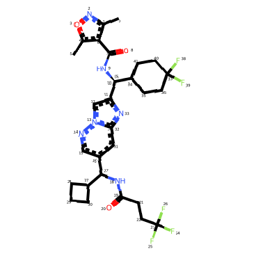 Cc1noc(C)c1C(=O)N[C@H](c1cn2ncc(C(NC(=O)CCC(F)(F)F)C3CCC3)cc2n1)C1CCC(F)(F)CC1